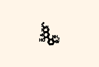 CSc1ncc2c(n1)N(C)C(O)C(c1cccc(Br)c1N)=C2